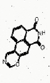 O=C1NC(=O)C2C=CC=c3c2c1cc1c3=CN=CO1